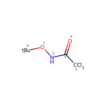 CC(C)(C)ONC(=O)C(Cl)(Cl)Cl